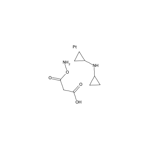 C1CC1NC1CC1.NOC(=O)CC(=O)O.[Pt]